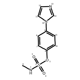 CNS(=O)(=O)Oc1ccc(-n2ccnc2)cc1